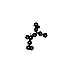 CC1(C)c2ccccc2-c2ccc(N(c3ccc(-c4ccccc4)cc3)c3ccc4c(c3)oc3c5ccccc5c(-c5ccc(-c6cccc7ccccc67)cc5)cc43)cc21